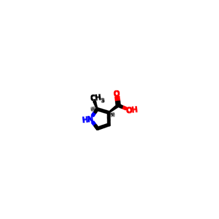 C[C@@H]1NCC[C@@H]1C(=O)O